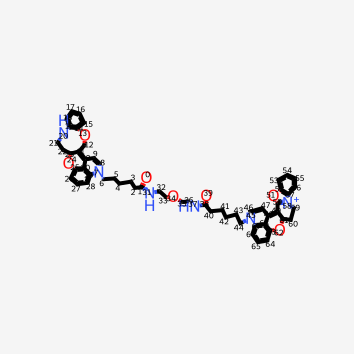 O=C(CCCCCN1C=CC2=C3COc4ccccc4NCCC3Oc3cccc1c32)NCCOCCNC(=O)CCCCCN1C=CC2=C3c4oc5ccccc5[n+]4CCC3Oc3cccc1c32